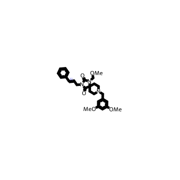 COCN1C(=O)N(C/C=C/c2ccccc2)C(=O)C12CCN(Cc1cc(OC)cc(OC)c1)CC2